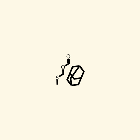 C1C2CC3CC1CC(C2)C3.CSCOC=O